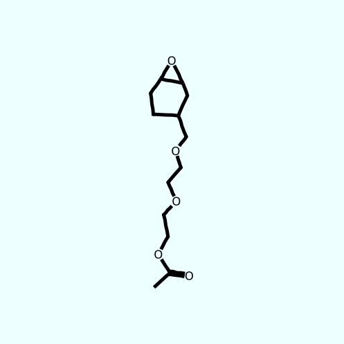 CC(=O)OCCOCCOCC1CCC2OC2C1